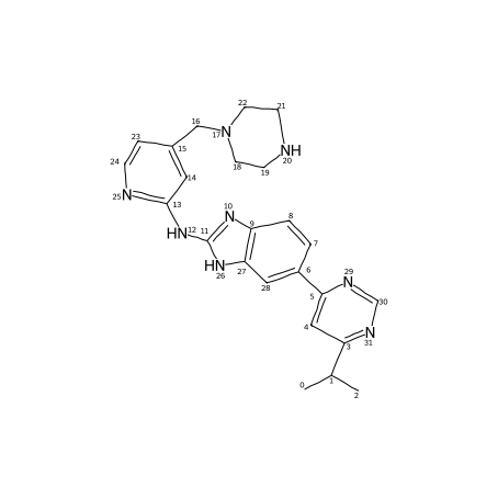 CC(C)c1cc(-c2ccc3nc(Nc4cc(CN5CCNCC5)ccn4)[nH]c3c2)ncn1